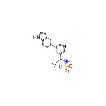 CCS(=O)(=O)NC(c1cncc(-c2ccc3[nH]ccc3c2)c1)C1CC1